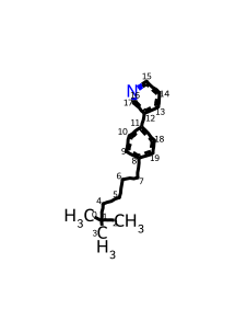 CC(C)(C)CCCCc1ccc(-c2cccnc2)cc1